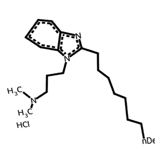 CCCCCCCCCCCCCCCCCc1nc2ccccc2n1CCCN(C)C.Cl